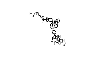 COCCCOC(=O)c1cc2cc(NC(=O)[C@@H]3[C@H](C4CCCCC4)CCN3C(=O)[C@H]3CC[C@H]([C@@H](CF)NC(=O)OC(C)(C)C)CC3)ccc2[nH]1